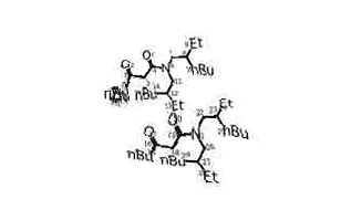 CCCCC(=O)CC(=O)N(CC(CC)CCCC)CC(CC)CCCC.CCCCC(=O)CC(=O)N(CC(CC)CCCC)CC(CC)CCCC.[Zn]